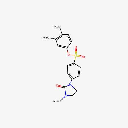 CCCCCN1CCN(c2ccc(S(=O)(=O)Oc3ccc(OC)c(OC)c3)cc2)C1=O